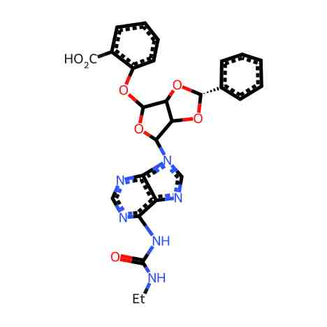 CCNC(=O)Nc1ncnc2c1ncn2C1OC(Oc2ccccc2C(=O)O)C2O[C@H](c3ccccc3)OC21